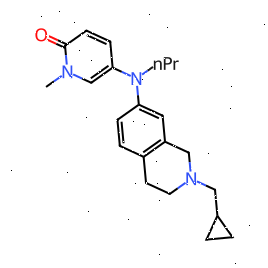 CCCN(c1ccc2c(c1)CN(CC1CC1)CC2)c1ccc(=O)n(C)c1